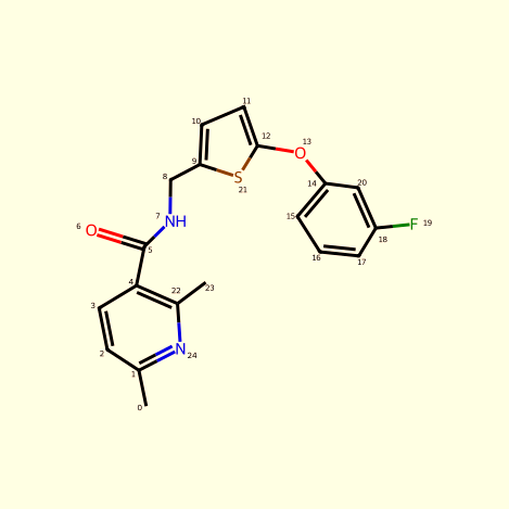 Cc1ccc(C(=O)NCc2ccc(Oc3cccc(F)c3)s2)c(C)n1